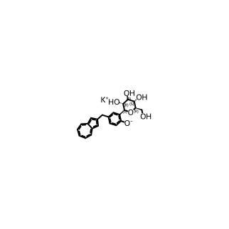 [K+].[O-]c1ccc(Cc2cc3cccccc-3c2)cc1[C@@H]1O[C@H](CO)[C@@H](O)[C@H](O)[C@H]1O